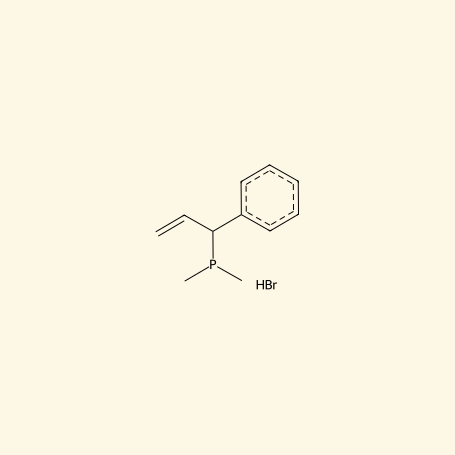 Br.C=CC(c1ccccc1)P(C)C